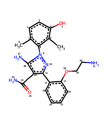 Cc1ccc(O)c(C)c1-n1nc(-c2ccccc2OCCN)c(C(N)=O)c1N